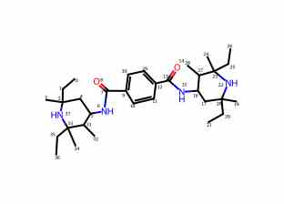 CCC1(C)CC(NC(=O)c2ccc(C(=O)NC3CC(C)(CC)NC(C)(CC)C3C)cc2)C(C)C(C)(CC)N1